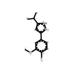 COc1cc(-c2cc(C(C)C)[nH]n2)ccc1F